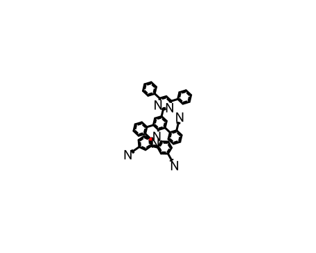 N#Cc1ccc2c(c1)c1cc(C#N)ccc1n2-c1c(-c2ccccc2C#N)cc(-c2nc(-c3ccccc3)cc(-c3ccccc3)n2)cc1-c1ccccc1C#N